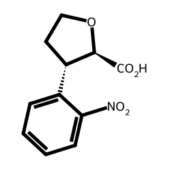 O=C(O)[C@@H]1OCC[C@H]1c1ccccc1[N+](=O)[O-]